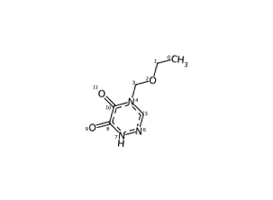 CCOCn1[c]n[nH]c(=O)c1=O